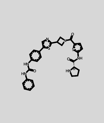 O=C(Nc1ccccc1)Nc1ccc(-c2cnc(C3CN(C(=O)c4ccc(NC(=O)[C@@H]5CCCN5)s4)C3)s2)cc1